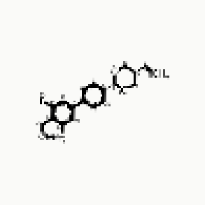 C=C[C@H]1CO[C@H](c2ccc(-c3cc(F)c(COC)c(F)c3)cc2)OC1